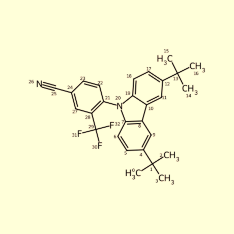 CC(C)(C)c1ccc2c(c1)c1cc(C(C)(C)C)ccc1n2-c1ccc(C#N)cc1C(F)(F)F